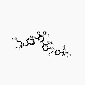 Cc1c(NC(=O)c2ccc(C(C)(C)C)cc2)cccc1-c1cn(C)c(=O)c(Nc2ccc(CN(C)CCO)cc2)n1